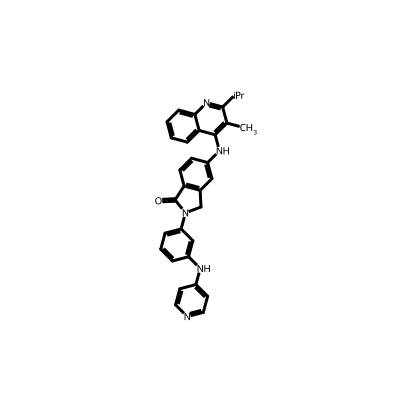 Cc1c(C(C)C)nc2ccccc2c1Nc1ccc2c(c1)CN(c1cccc(Nc3ccncc3)c1)C2=O